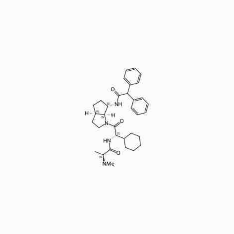 CN[C@@H](C)C(=O)N[C@H](C(=O)N1CC[C@H]2CC[C@H](NC(=O)C(c3ccccc3)c3ccccc3)[C@H]21)C1CCCCC1